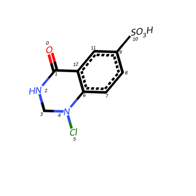 O=C1NCN(Cl)c2ccc(S(=O)(=O)O)cc21